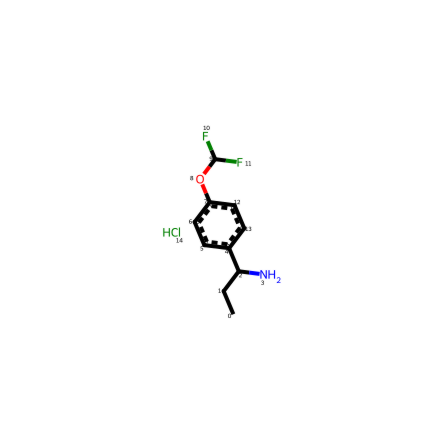 CCC(N)c1ccc(OC(F)F)cc1.Cl